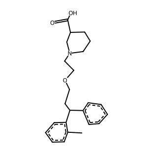 Cc1ccccc1C(CCOCCN1CCCC(C(=O)O)C1)c1ccccc1